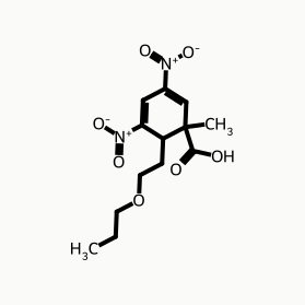 CCCOCCC1C([N+](=O)[O-])=CC([N+](=O)[O-])=CC1(C)C(=O)O